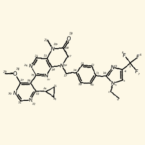 CCn1cc(C(F)(F)F)nc1-c1ccc(CN2CC(=O)N(C)c3cnc(-c4c(OC)ncnc4C4CC4)nc32)cc1